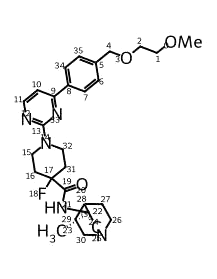 COCCOCc1ccc(-c2ccnc(N3CCC(F)(C(=O)N[C@]4(C)CN5CCC4CC5)CC3)n2)cc1